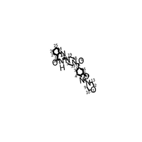 O=C(c1ccc2nc(N3CCOCC3)oc2c1)N1CCN(c2nc3ccccc3c(=O)[nH]2)CC1